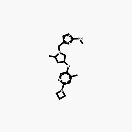 CNc1ncc(CN2CC(Oc3cnc(N4CCC4)cc3C)CC2C)s1